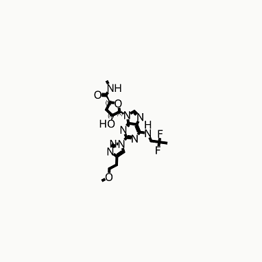 CNC(=O)[C@@H]1C[C@@H](O)[C@H](n2cnc3c(NCC(C)(F)F)nc(-n4cc(CCOC)nn4)nc32)O1